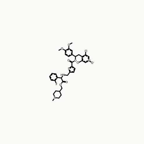 COc1ccc(C(Cc2c(Cl)c[n+]([O-])cc2Cl)OC(=O)c2ccc(CNC(C(=O)OCC3CCN(C)CC3)c3ccccc3F)s2)cc1OC